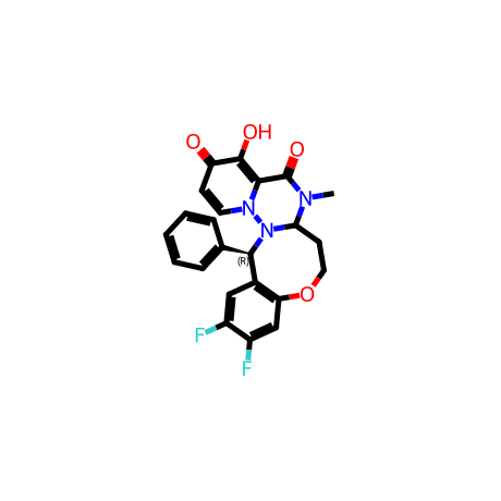 CN1C(=O)c2c(O)c(=O)ccn2N2C1CCOc1cc(F)c(F)cc1[C@H]2c1ccccc1